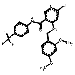 COc1ccc(CNc2cc(Cl)ncc2C(=O)Nc2ccc(C(F)(F)F)cc2)c(OC)c1